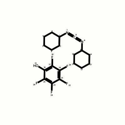 C(=NC1CCCCC1)=NC1CCCCC1.Oc1c(F)c(F)c(F)c(F)c1F